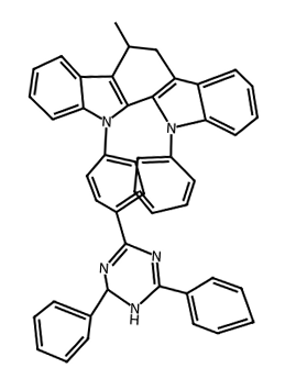 CC1Cc2c(n(-c3ccccc3)c3ccccc23)-c2c1c1ccccc1n2-c1ccc(C2=NC(c3ccccc3)NC(c3ccccc3)=N2)cc1